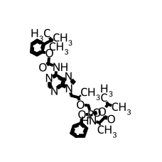 CC(C)OC(=O)[C@@H](C)NP(=O)(CO[C@H](C)Cn1cnc2c(NC(=O)Oc3ccccc3C(C)(C)C)ncnc21)Oc1ccccc1